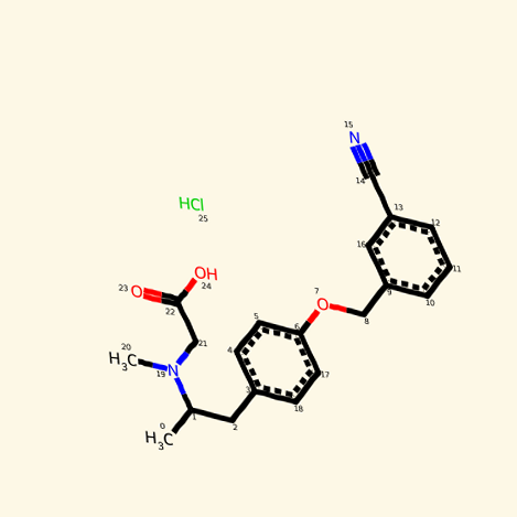 CC(Cc1ccc(OCc2cccc(C#N)c2)cc1)N(C)CC(=O)O.Cl